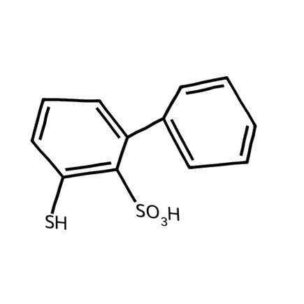 O=S(=O)(O)c1c(S)cccc1-c1ccccc1